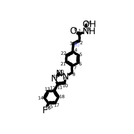 O=C(/C=C/c1ccc(Cn2cc(-c3ccc(F)cc3)nn2)cc1)NO